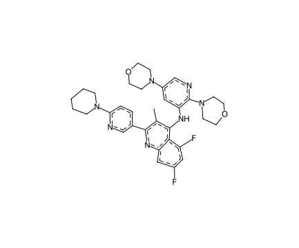 Cc1c(-c2ccc(N3CCCCC3)nc2)nc2cc(F)cc(F)c2c1Nc1cc(N2CCOCC2)cnc1N1CCOCC1